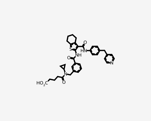 O=C(O)CCCC(=O)N(Cc1cccc(C(=O)Nc2sc3c(c2C(=O)Nc2ccc(Cc4ccncc4)cc2)CCCC3)c1)C1CC1